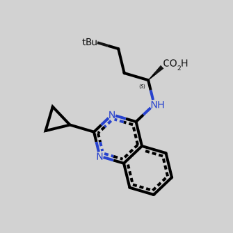 CC(C)(C)CC[C@H](Nc1nc(C2CC2)nc2ccccc12)C(=O)O